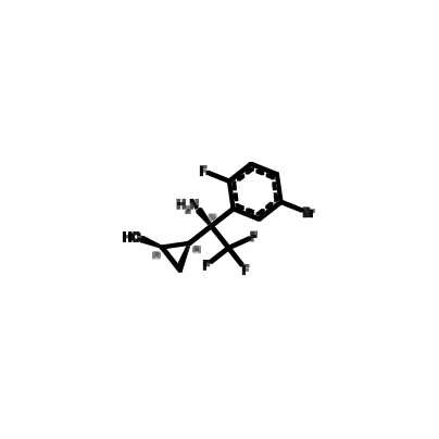 N[C@](c1cc(Br)ccc1F)([C@H]1C[C@H]1O)C(F)(F)F